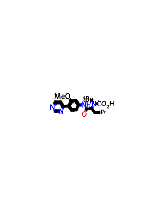 COc1cc(NC(=O)C(CC(C)C)N(C(=O)O)C(C)(C)C)ccc1-c1ccncn1